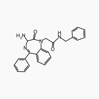 NC1N=C(c2ccccc2)c2ccccc2N(CC(=O)NCc2ccccc2)C1=O